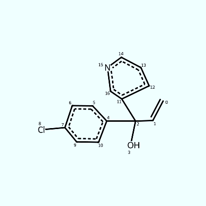 C=CC(O)(c1ccc(Cl)cc1)c1cccnc1